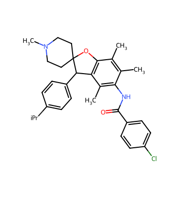 Cc1c(C)c2c(c(C)c1NC(=O)c1ccc(Cl)cc1)C(c1ccc(C(C)C)cc1)C1(CCN(C)CC1)O2